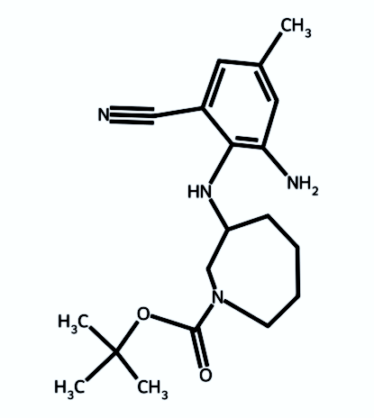 Cc1cc(N)c(NC2CCCCN(C(=O)OC(C)(C)C)C2)c(C#N)c1